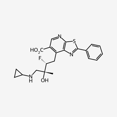 C[C@@](O)(CNC1CC1)[C@H](F)Cc1c(C(=O)O)cnc2sc(-c3ccccc3)nc12